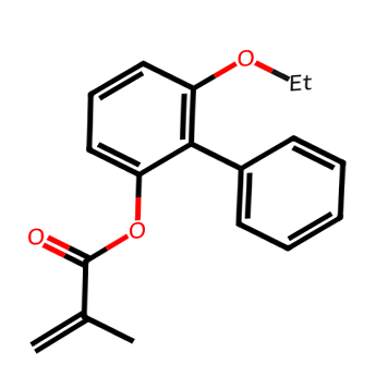 C=C(C)C(=O)Oc1cccc(OCC)c1-c1ccccc1